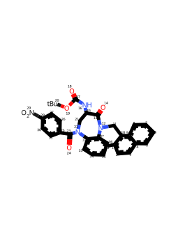 Cc1ccc2ccccc2c1CN1C(=O)C(NC(=O)OC(C)(C)C)CN(C(=O)c2ccc([N+](=O)[O-])cc2)c2ccccc21